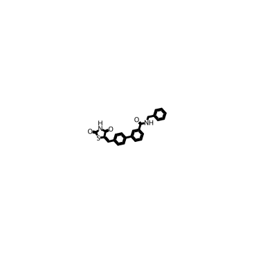 O=C1NC(=O)/C(=C\c2ccc(-c3cccc(C(=O)NCc4ccccc4)c3)cc2)S1